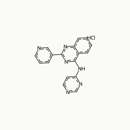 Cl.c1cncc(-c2nc(Nc3ccncn3)c3ccccc3n2)c1